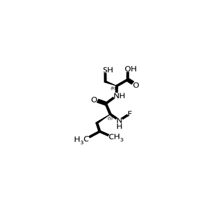 CC(C)C[C@H](NF)C(=O)N[C@@H](CS)C(=O)O